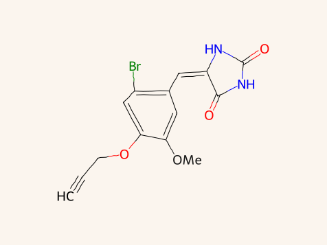 C#CCOc1cc(Br)c(/C=C2/NC(=O)NC2=O)cc1OC